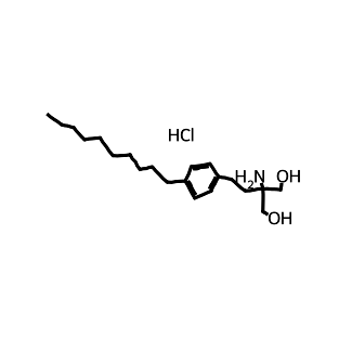 CCCCCCCCCCc1ccc(CCC(N)(CO)CO)cc1.Cl